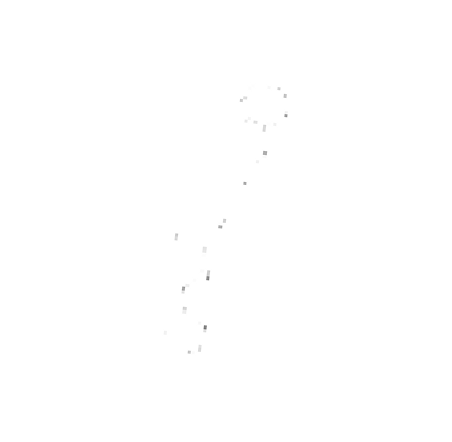 O=C(C=CCCCc1ccccc1)NCC1CCOC1